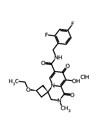 CCO[C@H]1C[C@@]2(CN(C)C(=O)c3c(O)c(=O)c(C(=O)NCc4ccc(F)cc4F)cn32)C1.Cl